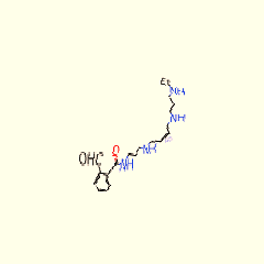 CCNCCCNC/C=C\CNCCCNC(=O)c1ccccc1C=O